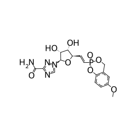 COc1ccc2c(c1)COP(=O)(/C=C/[C@H]1O[C@@H](n3cnc(C(N)=O)n3)[C@H](O)[C@@H]1O)O2